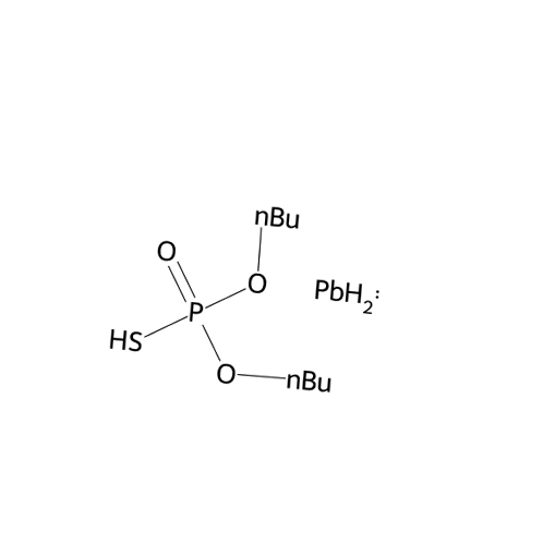 CCCCOP(=O)(S)OCCCC.[PbH2]